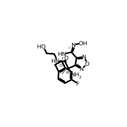 C[C@](N)(C(=O)NCCO)c1nonc1/C(=N\O)N[C@H]1Cc2ccc(F)cc21